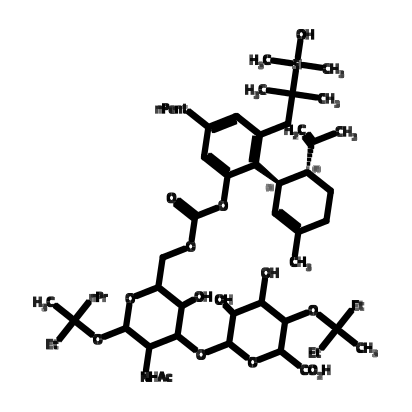 C=C(C)[C@@H]1CCC(C)=C[C@H]1c1c(CC(C)(C)[Si](C)(C)O)cc(CCCCC)cc1OC(=O)OCC1OC(OC(C)(CC)CCC)C(NC(C)=O)C(OC2OC(C(=O)O)C(OC(C)(CC)CC)C(O)C2O)C1O